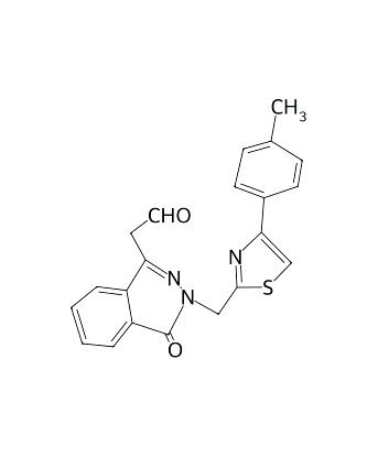 Cc1ccc(-c2csc(Cn3nc(CC=O)c4ccccc4c3=O)n2)cc1